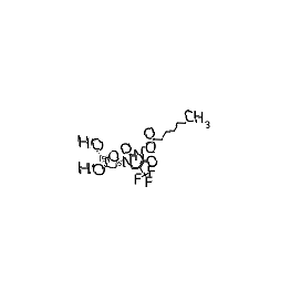 CCCCCCC(=O)OCn1c(=O)c(C(F)(F)F)cn([C@@H]2CC(O)[C@H](CO)O2)c1=O